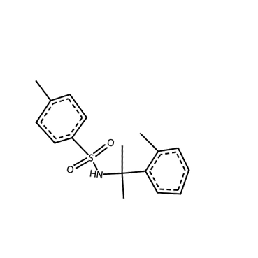 Cc1ccc(S(=O)(=O)NC(C)(C)c2ccccc2C)cc1